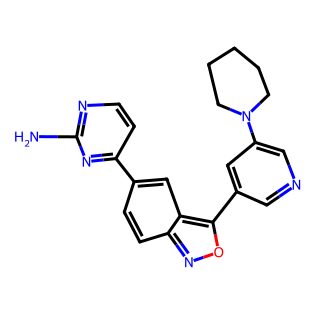 Nc1nccc(-c2ccc3noc(-c4cncc(N5CCCCC5)c4)c3c2)n1